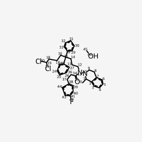 CC1c2ccccc2CCN1N(CCCC(CCCC(Cl)Cl)(c1ccccc1)c1ccccc1)C(=O)CCc1ccc(F)cc1.CO